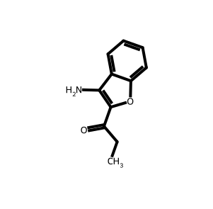 CCC(=O)c1oc2ccccc2c1N